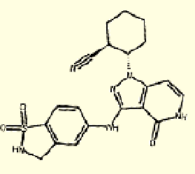 N#C[C@H]1CCCC[C@@H]1n1nc(Nc2ccc3c(c2)CNS3(=O)=O)c2c(=O)[nH]ccc21